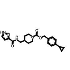 O=C(NCC1CCN(C(=O)OCc2ccc(C3CC3)cc2)CC1)c1cc[nH]n1